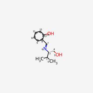 CC(C)[C@@H](CO)N=Cc1ccccc1O